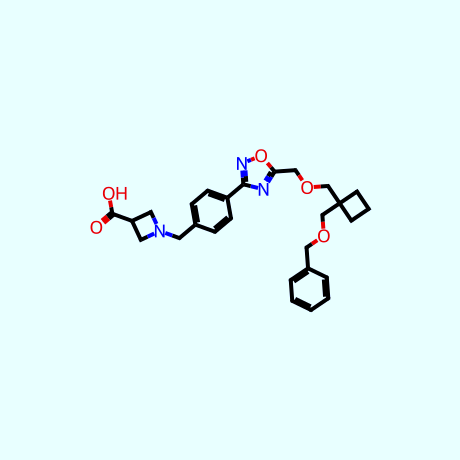 O=C(O)C1CN(Cc2ccc(-c3noc(COCC4(COCc5ccccc5)CCC4)n3)cc2)C1